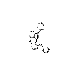 CC1(C)c2cccc(Oc3ccccc3)c2Oc2c(Pc3ccccc3)cccc21